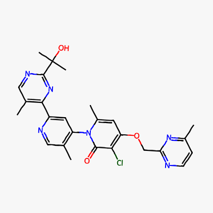 Cc1ccnc(COc2cc(C)n(-c3cc(-c4nc(C(C)(C)O)ncc4C)ncc3C)c(=O)c2Cl)n1